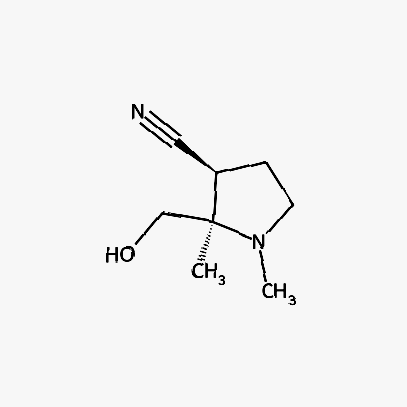 CN1CC[C@H](C#N)[C@]1(C)CO